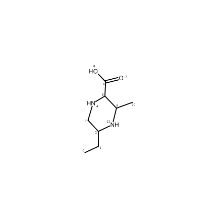 CCC1CNC(C(=O)O)C(C)N1